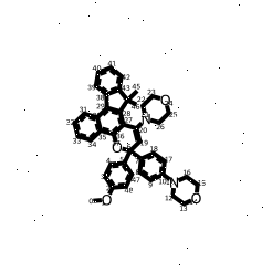 COc1ccc(C2(c3ccc(N4CCOCC4)cc3)C=C(N3CCOCC3)c3c4c(c5ccccc5c3O2)-c2ccccc2C4(C)C)cc1